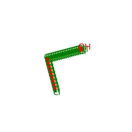 ClCCl.ClCCl.ClCCl.ClCCl.ClCCl.ClCCl.ClCCl.ClCCl.ClCCl.ClCCl.ClCCl.ClCCl.ClCCl.ClCCl.ClCCl.ClCCl.ClCCl.ClCCl.ClCCl.ClCCl.ClCCl.ClCCl.ClCCl.ClCCl.ClCCl.ClCCl.ClCCl.ClCCl.ClCCl.OCC(Cl)Cl